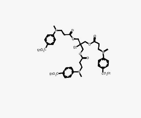 CCOC(=O)c1ccc(N(C)CCC(=O)OCC(CC)(COC(=O)CCN(C)c2ccc(C(=O)OCC)cc2)COC(=O)CCN(C)c2ccc(C(=O)OCC)cc2)cc1